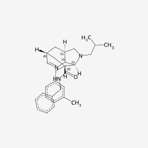 Cc1cccc(C[C@@H]2[C@@H]3C=N[C@@]4(C(=O)NCc5ccccc5)[C@@H](C3)CN(CC(C)C)[C@@H]24)c1